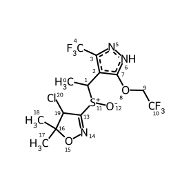 CC(c1c(C(F)(F)F)n[nH]c1OCC(F)(F)F)[S+]([O-])C1=NOC(C)(C)C1Cl